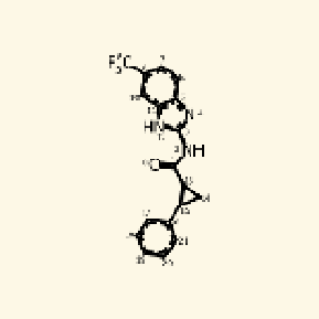 O=C(Nc1nc2ccc(C(F)(F)F)cc2[nH]1)C1CC1c1ccccc1